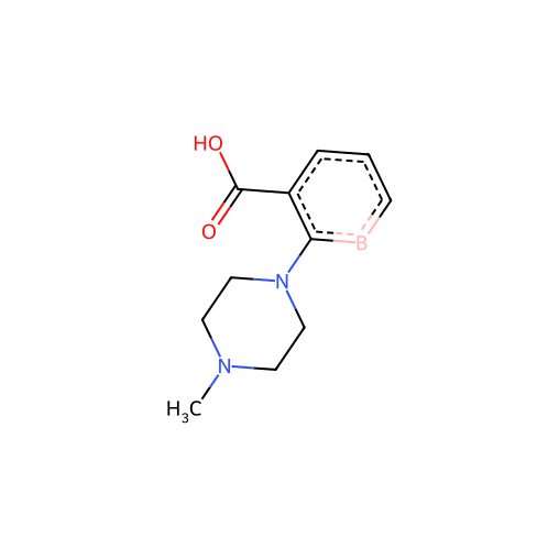 CN1CCN(c2bcccc2C(=O)O)CC1